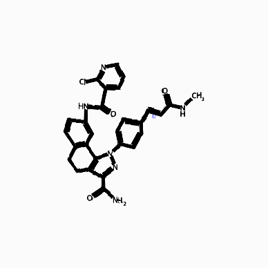 CNC(=O)/C=C/c1ccc(-n2nc(C(N)=O)c3c2-c2cc(NC(=O)c4cccnc4Cl)ccc2CC3)cc1